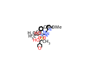 COC1=NC(c2nnc(N(CC[Si](C)(C)C)S(=O)(=O)[C@@H](C)[C@H](O)C3CCOCC3)n2-c2c(O)cccc2OC)=C=C=C1